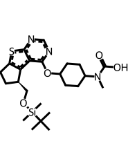 CN(C(=O)O)C1CCC(Oc2ncnc3sc4c(c23)[C@@H](CO[Si](C)(C)C(C)(C)C)CC4)CC1